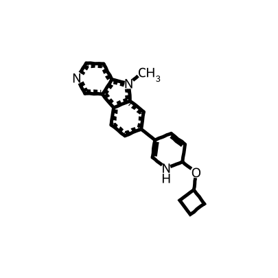 Cn1c2ccncc2c2ccc(C3=CNC(OC4CCC4)C=C3)cc21